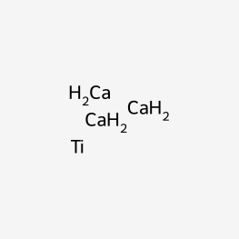 [CaH2].[CaH2].[CaH2].[Ti]